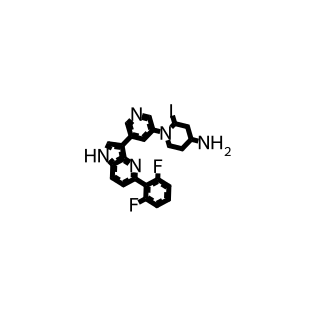 NC1CCN(c2cncc(-c3c[nH]c4ccc(-c5c(F)cccc5F)nc34)c2)C(I)C1